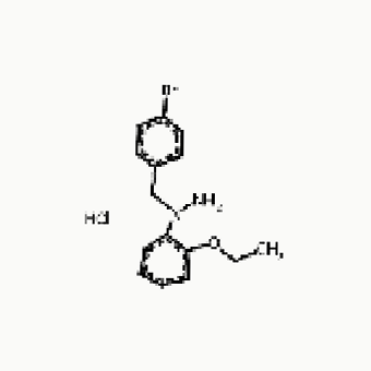 CCOc1ccccc1N(N)Cc1ccc(Br)cc1.Cl